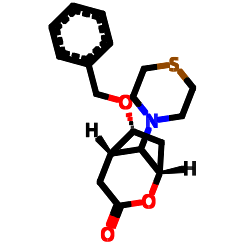 O=C1C[C@H]2C(N3CCSCC3)[C@H](C[C@H]2OCc2ccccc2)O1